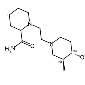 C[C@H]1CN(CCN2CC[CH]CC2C(N)=O)CC[C@@H]1O